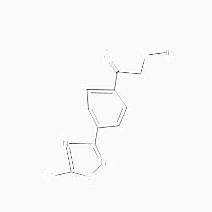 CC(C)SCC(=O)c1ccc(-c2noc(C(F)(F)F)n2)cc1